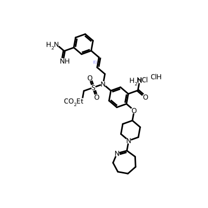 CCOC(=O)CS(=O)(=O)N(C/C=C/c1cccc(C(=N)N)c1)c1ccc(OC2CCN(C3=NCCCCC3)CC2)c(C(N)=O)c1.Cl.Cl